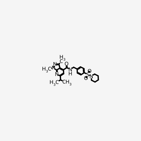 Cc1nn(C)c2nc(C(C)C)cc(C(=O)NCc3ccc(S(=O)(=O)N4CCCCC4)cc3)c12